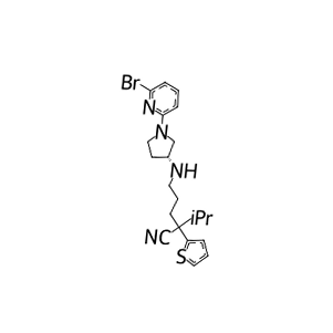 CC(C)C(C#N)(CCCN[C@@H]1CCN(c2cccc(Br)n2)C1)c1cccs1